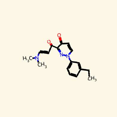 CCc1cccc(-n2ccc(=O)c(C(=O)/C=C/N(C)C)n2)c1